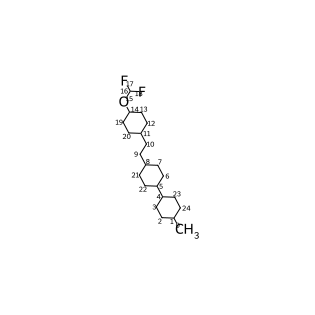 CC1CCC(C2CCC(CCC3CCC(OC(F)F)CC3)CC2)CC1